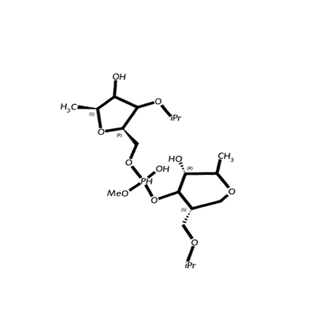 CO[PH](O)(OC[C@H]1O[C@@H](C)C(O)C1OC(C)C)OC1[C@@H](COC(C)C)COC(C)[C@H]1O